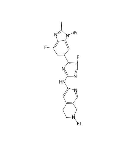 CCN1CCc2cc(Nc3ncc(F)c(-c4cc(F)c5nc(C)n(C(C)C)c5c4)n3)ncc2C1